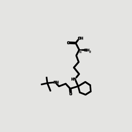 CC(C)(C)NCCC(=O)C1(NCCCC[C@H](N)C(=O)O)CCCCC1